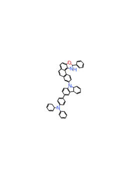 C1=CCC(N(c2ccccc2)c2ccc(-c3ccc4c(c3)C3C=CC=CC3N4c3ccc4c(ccc5ccc6c(c54)NC(c4ccccc4)O6)c3)cc2)C=C1